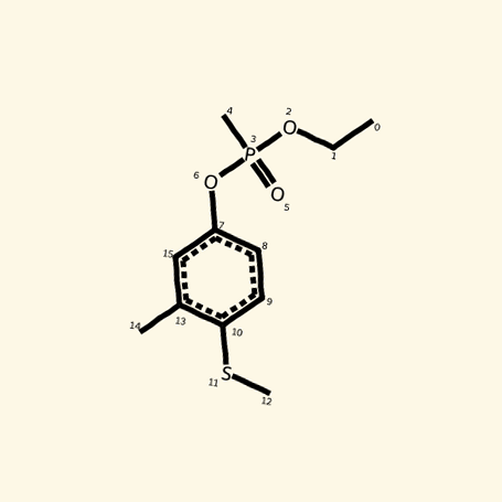 CCOP(C)(=O)Oc1ccc(SC)c(C)c1